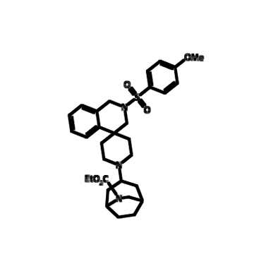 CCOC(=O)N1CC2CCC1CC(N1CCC3(CC1)CN(S(=O)(=O)c1ccc(OC)cc1)Cc1ccccc13)C2